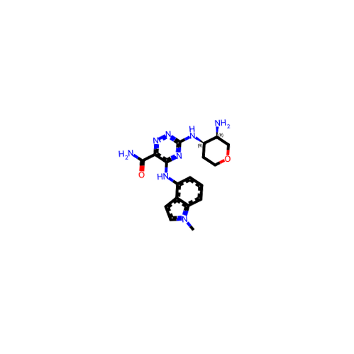 Cn1ccc2c(Nc3nc(N[C@@H]4CCOC[C@@H]4N)nnc3C(N)=O)cccc21